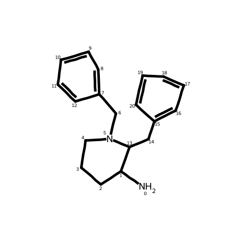 NC1CCCN(Cc2ccccc2)C1Cc1ccccc1